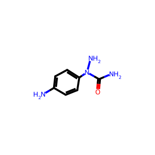 NC(=O)N(N)c1ccc(N)cc1